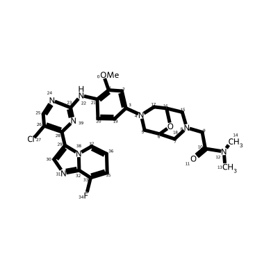 COc1cc(N2CC3CN(CC(=O)N(C)C)CC(C2)O3)ccc1Nc1ncc(Cl)c(-c2cnc3c(F)cccn23)n1